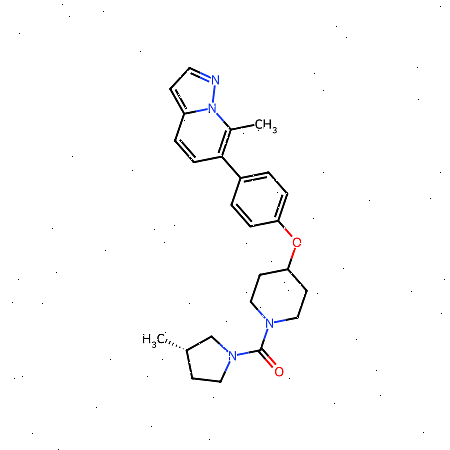 Cc1c(-c2ccc(OC3CCN(C(=O)N4CC[C@H](C)C4)CC3)cc2)ccc2ccnn12